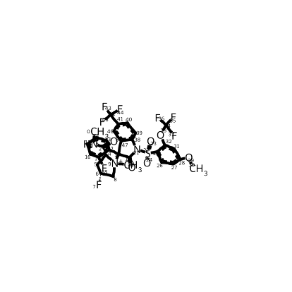 CNC(=O)[C@@H]1C[C@@H](F)C[N+]1(C)C1(c2ccccc2F)C(=O)N(S(=O)(=O)c2ccc(OC)cc2OC(F)(F)F)c2ccc(C(F)(F)F)cc21